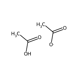 CC(=O)O.CC([O])=O